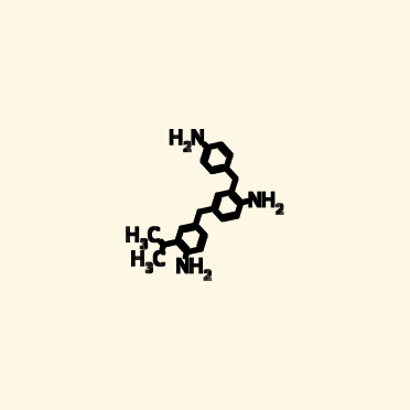 CC(C)c1cc(Cc2ccc(N)c(Cc3ccc(N)cc3)c2)ccc1N